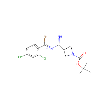 CC(C)(C)OC(=O)N1CC(C(=N)/N=C(\S)c2ccc(Cl)cc2Cl)C1